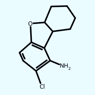 Nc1c(Cl)ccc2c1C1CCCCC1O2